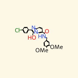 COc1ccc(CNC(=O)c2ccc3nc(-c4ccc(Cl)cc4)c(CO)n3c2)cc1OC